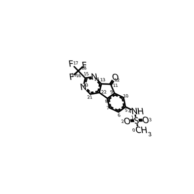 CS(=O)(=O)Nc1ccc2c(c1)C(=O)c1nc(C(F)(F)F)ncc1-2